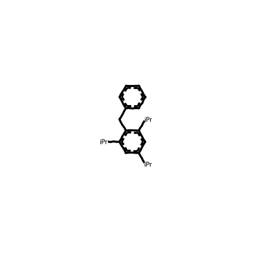 CC(C)c1cc(C(C)C)c(Cc2ccccc2)c(C(C)C)c1